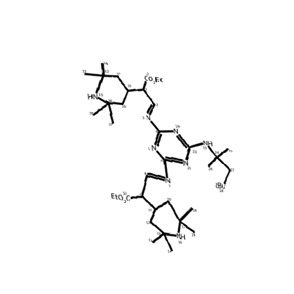 CCOC(=O)C(C=Nc1nc(N=CC(C(=O)OCC)C2CC(C)(C)NC(C)(C)C2)nc(NC(C)(C)CC(C)(C)C)n1)C1CC(C)(C)NC(C)(C)C1